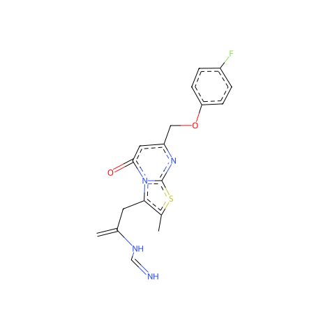 C=C(Cc1c(C)sc2nc(COc3ccc(F)cc3)cc(=O)n12)NC=N